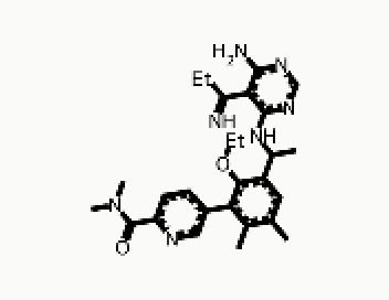 CCOc1c(C(C)Nc2ncnc(N)c2C(=N)CC)cc(C)c(C)c1-c1ccc(C(=O)N(C)C)nc1